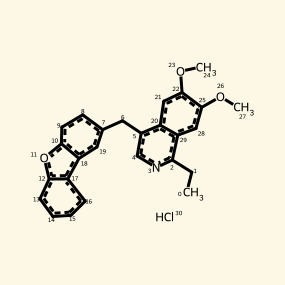 CCc1ncc(Cc2ccc3oc4ccccc4c3c2)c2cc(OC)c(OC)cc12.Cl